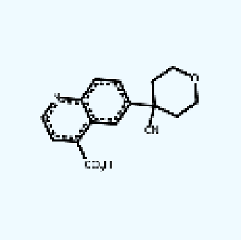 N#CC1(c2ccc3nccc(C(=O)O)c3c2)CCOCC1